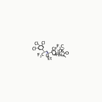 CCO/C(=C\C(c1cc(Cl)c(Cl)c(Cl)c1)C(F)(F)F)c1ccc(C(=O)N[C@H](C)C(=O)SCC(F)(F)F)c(C(F)(F)F)c1